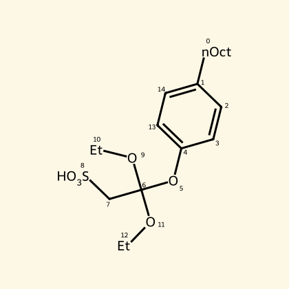 CCCCCCCCc1ccc(OC(CS(=O)(=O)O)(OCC)OCC)cc1